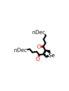 CCCCCCCCCCCCCC(=O)c1c[se]cc1C(=O)CCCCCCCCCCCCC